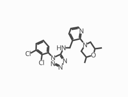 CC1CN(c2ncccc2CNc2nnnn2-c2cccc(Cl)c2Cl)CC(C)O1